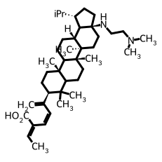 C=C(/C=C\C(=C/C)C(=O)O)[C@H]1CC[C@@]2(C)C(CC[C@]3(C)C2CC[C@@H]2C4[C@H](C(C)C)CC[C@]4(NCCN(C)C)CC[C@]23C)C1(C)C